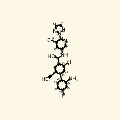 C#Cc1cc(C(O)Nc2cnc(-n3nccn3)c(Cl)c2)c(Cl)cc1-c1ccc(F)cc1N